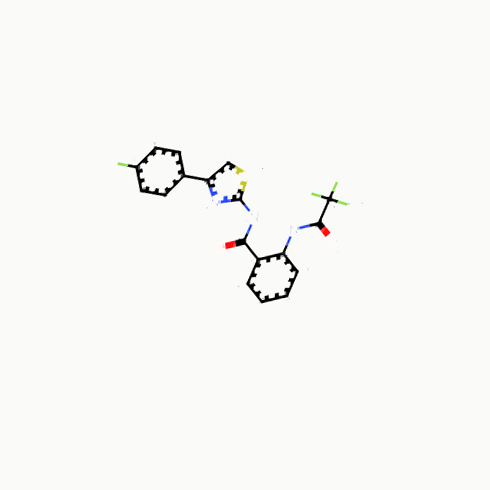 O=C(Nc1nc(-c2ccc(F)cc2)cs1)c1ccccc1NC(=O)C(F)(F)F